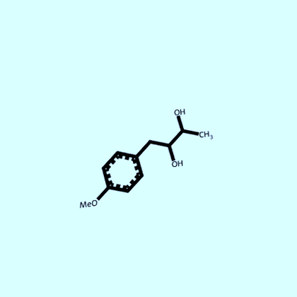 COc1ccc(CC(O)C(C)O)cc1